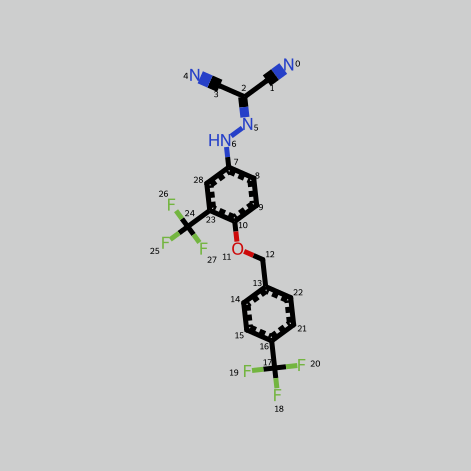 N#CC(C#N)=NNc1ccc(OCc2ccc(C(F)(F)F)cc2)c(C(F)(F)F)c1